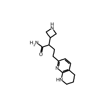 NC(=O)C(CCc1ccc2c(n1)NCCC2)C1CNC1